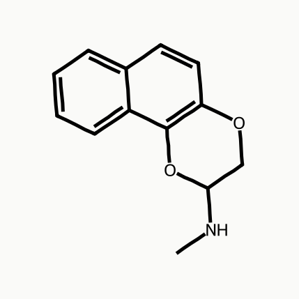 CNC1COc2ccc3ccccc3c2O1